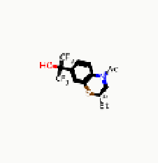 CC[C@H]1CN(C(C)=O)c2ccc(C(O)(C(F)(F)F)C(F)(F)F)cc2S1